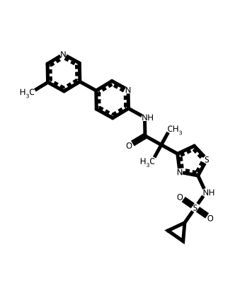 Cc1cncc(-c2ccc(NC(=O)C(C)(C)c3csc(NS(=O)(=O)C4CC4)n3)nc2)c1